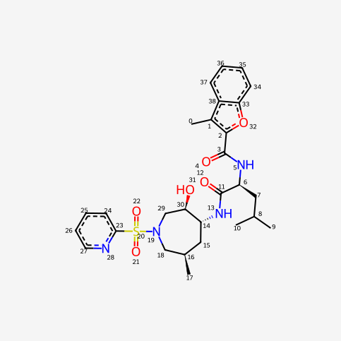 Cc1c(C(=O)N[C@@H](CC(C)C)C(=O)N[C@@H]2C[C@@H](C)CN(S(=O)(=O)c3ccccn3)C[C@H]2O)oc2ccccc12